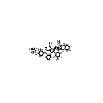 Cc1c(C(=O)N(c2ccncc2)c2ccc(OP(=O)(O)O)cc2)cc(-c2cc(Cl)ccc2C(=O)N2Cc3ccccc3C[C@H]2C)n1C